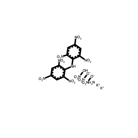 N.O=[N+]([O-])O.O=[N+]([O-])[O-].O=[N+]([O-])[O-].O=[N+]([O-])c1cc([N+](=O)[O-])c(Nc2c([N+](=O)[O-])cc([N+](=O)[O-])cc2[N+](=O)[O-])c([N+](=O)[O-])c1.[K+].[K+]